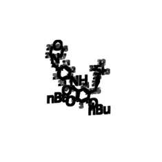 CCCCOc1cc(OCCCC)c(C(=O)Nc2ccc(CN3CCOCC3)cc2)cc1CC#C[Si](C)(C)C